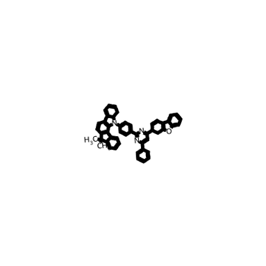 CC1(C)c2ccccc2-c2c1ccc1c2N(c2ccc(-c3nc(-c4ccccc4)cc(C4C=Cc5c(oc6ccccc56)C4)n3)cc2)C2CC=CC=C12